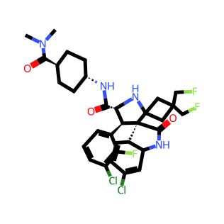 CN(C)C(=O)[C@H]1CC[C@H](NC(=O)[C@@H]2NC3(CC(CF)(CF)C3)[C@@]3(C(=O)NC4C=C(Cl)C=CC43)[C@H]2c2cccc(Cl)c2F)CC1